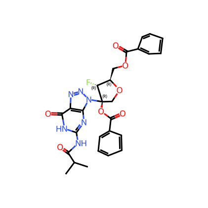 CC(C)C(=O)Nc1nc2c(nnn2[C@@]2(OC(=O)c3ccccc3)CO[C@H](COC(=O)c3ccccc3)[C@H]2F)c(=O)[nH]1